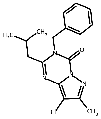 Cc1nn2c(=O)n(Cc3ccccc3)c(CC(C)C)nc2c1Cl